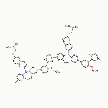 CCCCCCCCOc1ccc(-c2ccc3c(c2)C=Cc2cc(-c4ccc(C)c(-c5cc(-c6ccc7c(c6)C=Cc6cc(C)ccc6N7c6ccc7cc(OCC(CC)CCCC)ccc7c6)ccc5OCCCCCCCC)c4)ccc2N3c2ccc3cc(OCC(CC)CCCC)ccc3c2)cc1-c1cc(C)ccc1C